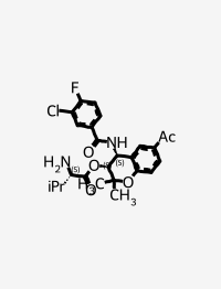 CC(=O)c1ccc2c(c1)[C@H](NC(=O)c1ccc(F)c(Cl)c1)[C@H](OC(=O)[C@@H](N)C(C)C)C(C)(C)O2